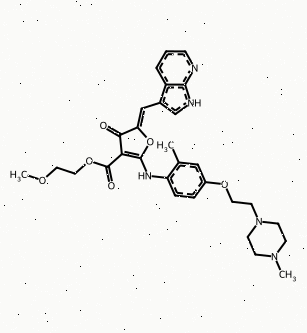 COCCOC(=O)C1=C(Nc2ccc(OCCN3CCN(C)CC3)cc2C)OC(=Cc2c[nH]c3ncccc23)C1=O